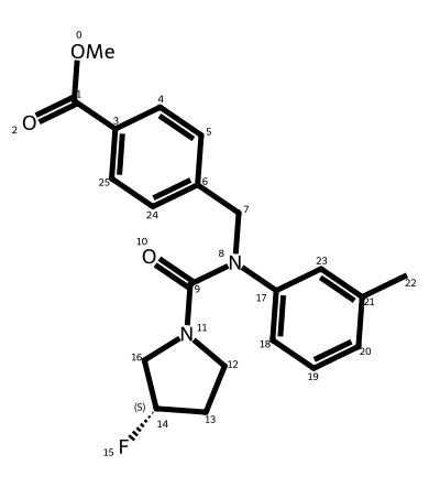 COC(=O)c1ccc(CN(C(=O)N2CC[C@H](F)C2)c2cccc(C)c2)cc1